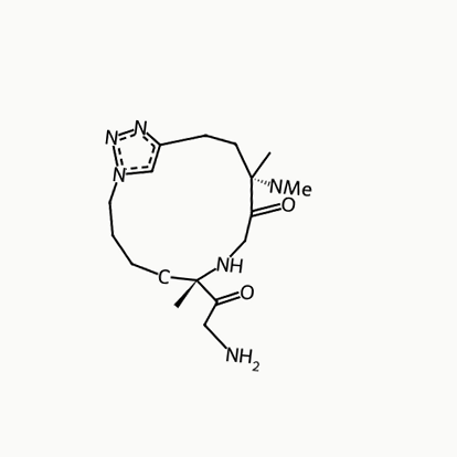 CN[C@@]1(C)CCc2cn(nn2)CCCC[C@@](C)(C(=O)CN)NCC1=O